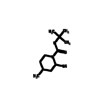 CC1CCN(C(=O)OC(C)(C)C)C(S)C1